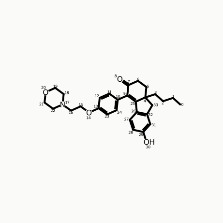 CCCCC12CCC(=O)C(c3ccc(OCCN4CCOCC4)cc3)=C1c1ccc(O)cc1C2